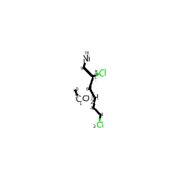 CC(=O)O.ClCCCCC(Cl)[CH2][Ni]